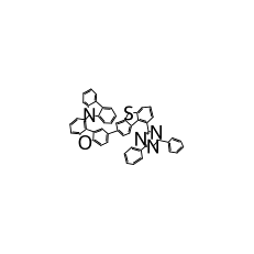 c1ccc(-c2nc(-c3ccccc3)nc(-c3cccc4sc5cc(-c6ccc7oc8cccc(-n9c%10ccccc%10c%10ccccc%109)c8c7c6)ccc5c34)n2)cc1